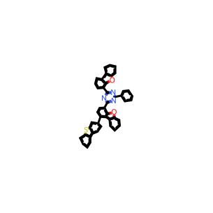 c1ccc(-c2nc(-c3cccc4c3oc3ccccc34)nc(-c3ccc(-c4ccc5c(c4)sc4ccccc45)c4c3oc3ccccc34)n2)cc1